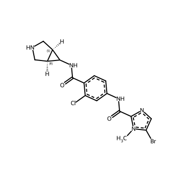 Cn1c(Br)cnc1C(=O)Nc1ccc(C(=O)NC2[C@H]3CNC[C@@H]23)c(Cl)c1